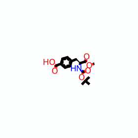 COC(=O)[C@H](Cc1ccc(C(=O)O)cc1)NC(=O)OC(C)(C)C